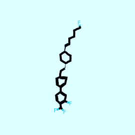 FCCCC/C=C/[C@H]1CC[C@H](CCc2ccc(-c3ccc(C(F)F)c(F)c3)cc2)CC1